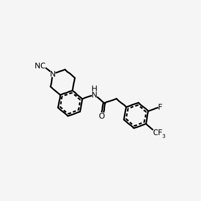 N#CN1CCc2c(cccc2NC(=O)Cc2ccc(C(F)(F)F)c(F)c2)C1